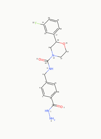 NNC(=O)c1ccc(CNC(=O)N2CCOC(c3cccc(F)c3)C2)cc1